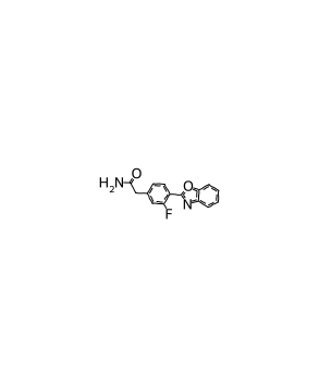 NC(=O)Cc1ccc(-c2nc3ccccc3o2)c(F)c1